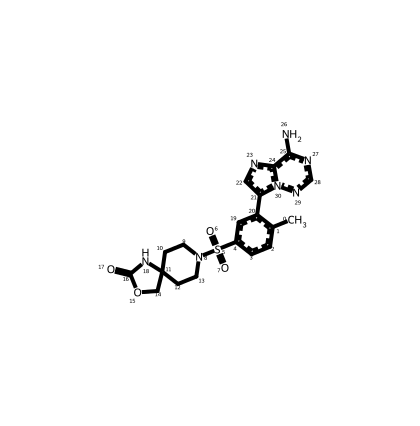 Cc1ccc(S(=O)(=O)N2CCC3(CC2)COC(=O)N3)cc1-c1cnc2c(N)ncnn12